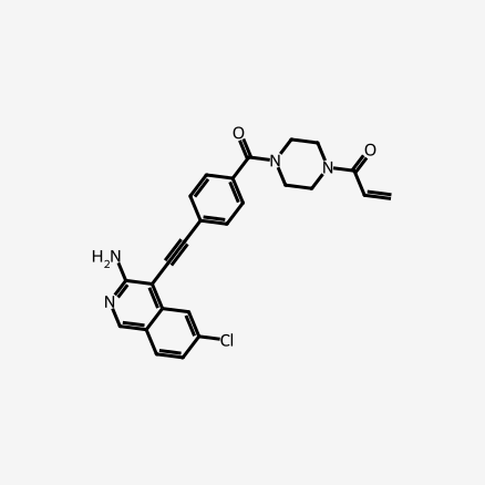 C=CC(=O)N1CCN(C(=O)c2ccc(C#Cc3c(N)ncc4ccc(Cl)cc34)cc2)CC1